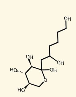 OCCCCC(O)CC1(O)OC[C@@H](O)[C@H](O)[C@H]1O